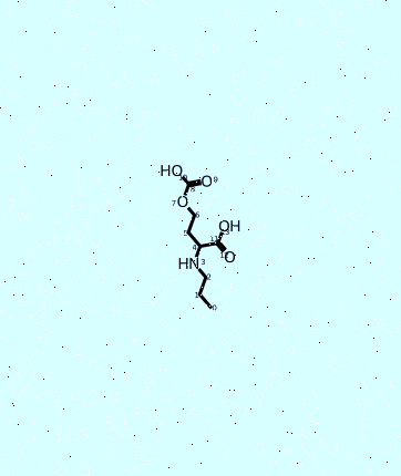 CCCNC(CCOC(=O)O)C(=O)O